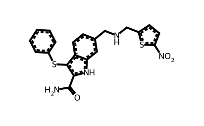 NC(=O)c1[nH]c2cc(CNCc3ccc([N+](=O)[O-])s3)ccc2c1Sc1ccccc1